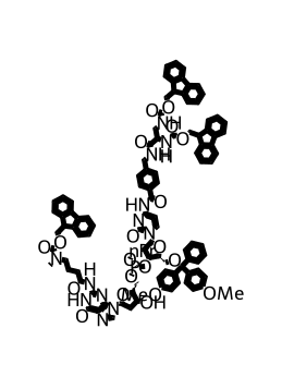 CCCOP(OC[C@H]1O[C@@H](n2cnc3c(=O)[nH]c(NC(=O)CCCN(C)C(=O)OCC4c5ccccc5-c5ccccc54)nc32)CC1O)OC1C[C@H](n2ccc(NC(=O)c3ccc(CNC(=O)C(CNC(=O)OCC4c5ccccc5-c5ccccc54)NC(=O)OCC4c5ccccc5-c5ccccc54)cc3)nc2=O)O[C@@H]1COC(c1ccccc1)(c1ccc(OC)cc1)c1ccc(OC)cc1